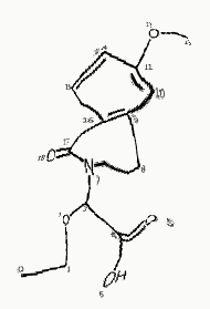 CCOC(C(=O)O)N1Cc2cc(OC)ccc2C1=O